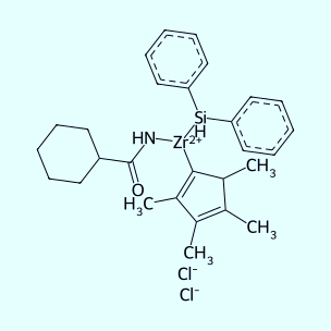 CC1=C(C)C(C)[C]([Zr+2]([NH]C(=O)C2CCCCC2)[SiH](c2ccccc2)c2ccccc2)=C1C.[Cl-].[Cl-]